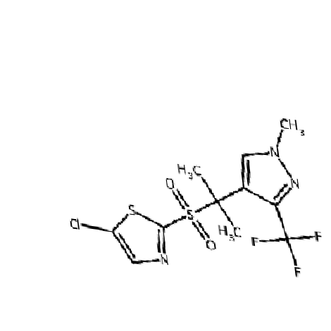 Cn1cc(C(C)(C)S(=O)(=O)c2ncc(Cl)s2)c(C(F)(F)F)n1